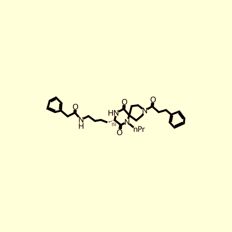 CCCN1C(=O)[C@H](CCCCNC(=O)Cc2ccccc2)NC(=O)C12CCN(C(=O)CCc1ccccc1)CC2